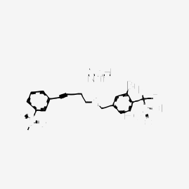 CS(=O)(=O)c1cccc(C#CCCSCc2ccc(C(F)(F)P(=O)(O)O)c(Br)c2)c1.[NaH].[NaH]